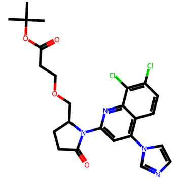 CC(C)(C)OC(=O)CCOCC1CCC(=O)N1c1cc(-n2ccnc2)c2ccc(Cl)c(Cl)c2n1